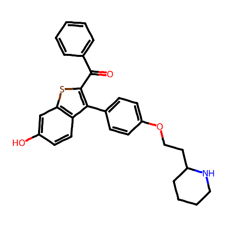 O=C(c1ccccc1)c1sc2cc(O)ccc2c1-c1ccc(OCCC2CCCCN2)cc1